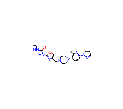 CCNC(=O)Nc1nc(CN2CCN(c3ccc(-n4cccn4)nc3C)CC2)co1